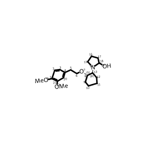 COc1ccc(CCO[C@H]2CCCC[C@H]2N2CCCC2O)cc1OC